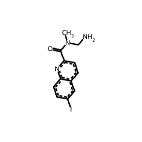 CN(CN)C(=O)c1ccc2cc(I)ccc2n1